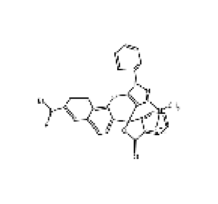 CCN(CC)c1ccc2c3c(ccc2c1)C1(OC(=O)c2ccccc21)c1c(N(C)C)nn(-c2ccccc2)c1O3